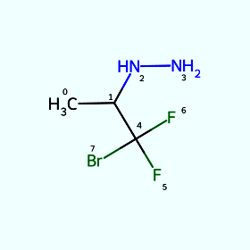 CC(NN)C(F)(F)Br